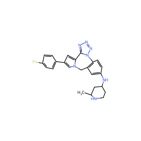 CC1CC(Nc2ccc3c(c2)Cn2cc(-c4ccc(F)cc4)cc2-c2nnnn2-3)CCN1